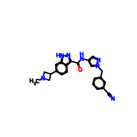 CN1CC(c2ccc3c(C(=O)Nc4cnn(Cc5cccc(C#N)c5)c4)n[nH]c3c2)C1